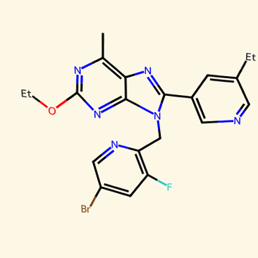 CCOc1nc(C)c2nc(-c3cncc(CC)c3)n(Cc3ncc(Br)cc3F)c2n1